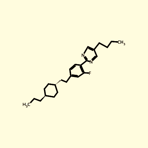 CCCCc1cnc(-c2ccc(CC[C@H]3CC[C@H](CCC)CC3)cc2F)nc1